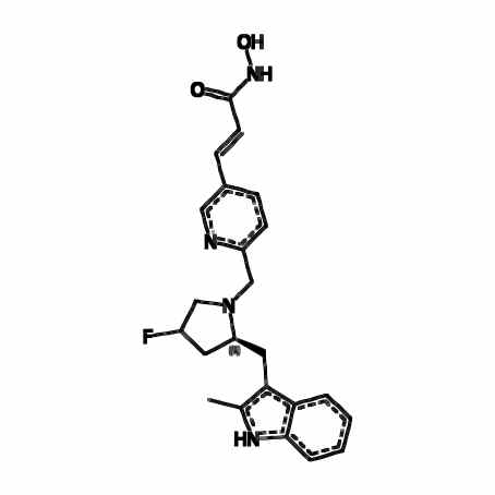 Cc1[nH]c2ccccc2c1C[C@H]1CC(F)CN1Cc1ccc(C=CC(=O)NO)cn1